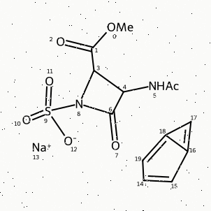 COC(=O)C1C(NC(C)=O)C(=O)N1S(=O)(=O)[O-].[Na+].c1cc2cc-2c1